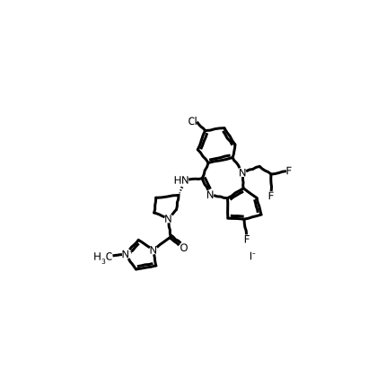 C[n+]1ccn(C(=O)N2CC[C@H](NC3=Nc4cc(F)ccc4N(CC(F)F)c4ccc(Cl)cc43)C2)c1.[I-]